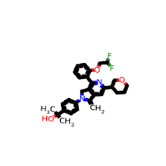 C=C1c2cc(C3CCCOC3)nc(-c3ccccc3OCC(F)F)c2CN1c1ccc(C(C)(C)O)cc1